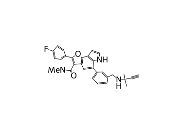 C#CC(C)(C)NCc1cccc(-c2cc3c(C(=O)NC)c(-c4ccc(F)cc4)oc3c3cc[nH]c23)c1